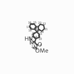 CON(C)C(=O)c1n[nH]c2c1C=CC(c1ccccc1)(C1CCCCC1)C2